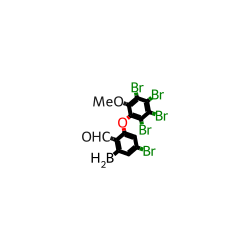 Bc1cc(Br)cc(Oc2c(Br)c(Br)c(Br)c(Br)c2OC)c1C=O